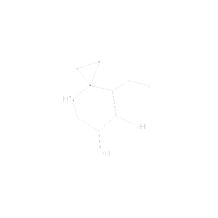 OC1CNC2(CC2)C(CCl)C1O